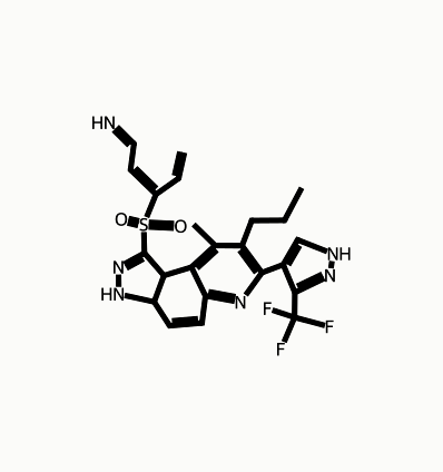 C=C/C(=C\C=N)S(=O)(=O)C1=NNC2C=Cc3nc(-c4c[nH]nc4C(F)(F)F)c(CCC)c(C)c3C12